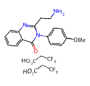 COc1ccc(-n2c(CCN)nc3ccccc3c2=O)cc1.O=C(O)CC(F)(F)F.O=C(O)CC(F)(F)F